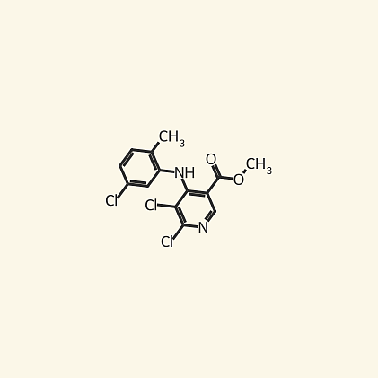 COC(=O)c1cnc(Cl)c(Cl)c1Nc1cc(Cl)ccc1C